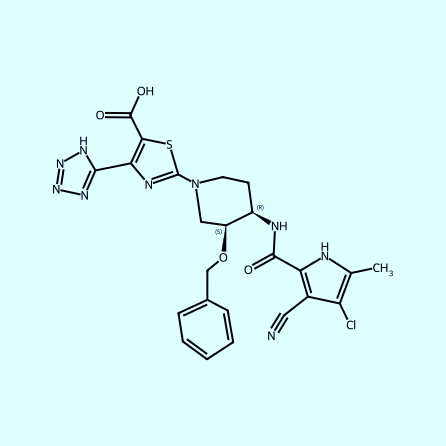 Cc1[nH]c(C(=O)N[C@@H]2CCN(c3nc(-c4nnn[nH]4)c(C(=O)O)s3)C[C@@H]2OCc2ccccc2)c(C#N)c1Cl